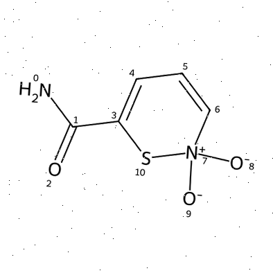 NC(=O)C1=CC=C[N+]([O-])([O-])S1